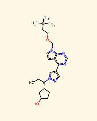 C[Si](C)(C)CCOCn1ccc2c(-c3cnn(C(CC#N)[C@H]4CC[C@@H](O)C4)c3)ncnc21